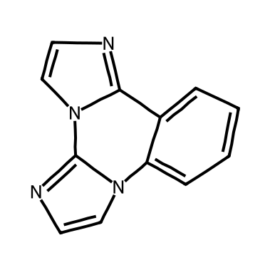 c1ccc2c(c1)c1nccn1c1nccn21